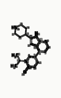 CC(C)n1cc(-c2ccnc3[nH]c(C4CCNCC4)cc23)ccc1=O